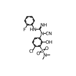 CN(C)S(=O)(=O)c1c(Cl)ccc(N(C#N)C(=N)Nc2ccccc2F)c1O